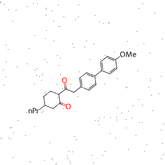 CCCC1CCC(C(=O)Cc2ccc(-c3ccc(OC)cc3)cc2)C(=O)C1